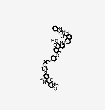 Cc1c(O[C@H]2CC[C@H](CCC(C)(C)CN3CCN(c4ccc5c(C6CCC(=O)NC6=O)nn(C)c5c4)CC3)CC2)cccc1-c1ccc(N2CCc3cccc(C(=O)Nc4nc5ccccc5s4)c3C2)nc1C(=O)O